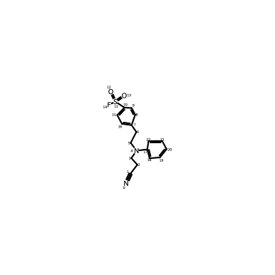 N#CCCN(CCc1ccc(S(=O)(=O)F)cc1)c1ccccc1